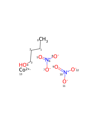 CCCCO.O=[N+]([O-])[O-].O=[N+]([O-])[O-].[Co+2]